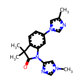 Cc1cn(-c2ccc3c(c2)N(c2cn(C)cn2)C(=O)C3(C)C)cn1